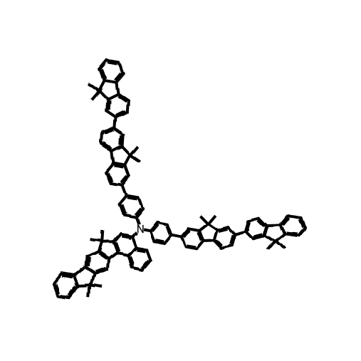 CC1(C)c2ccccc2-c2ccc(-c3ccc4c(c3)C(C)(C)c3cc(-c5ccc(N(c6ccc(-c7ccc8c(c7)C(C)(C)c7cc(-c9ccc%10c(c9)C(C)(C)c9ccccc9-%10)ccc7-8)cc6)c6cc7c(c8ccccc68)-c6cc8c(cc6C7(C)C)-c6ccccc6C8(C)C)cc5)ccc3-4)cc21